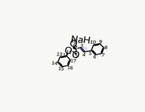 O=S(=O)(/C=C/c1ccccc1)Oc1ccccc1.[NaH]